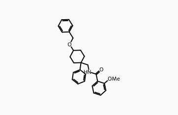 COc1ccccc1C(=O)NCC1(c2ccccc2)CCC(OCc2ccccc2)CC1